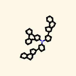 c1cc(-c2ccc3c(ccc4ccccc43)c2)cc(N(c2cccc(-c3ccc4c(ccc5ccccc54)c3)c2)c2ccc3c4ccccc4c4ccccc4c3c2)c1